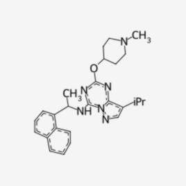 CC(C)c1cnn2c(NC(C)c3cccc4ccccc34)nc(OC3CCN(C)CC3)nc12